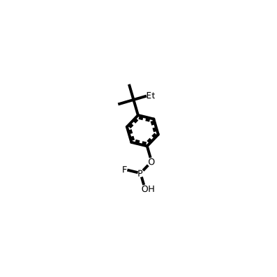 CCC(C)(C)c1ccc(OP(O)F)cc1